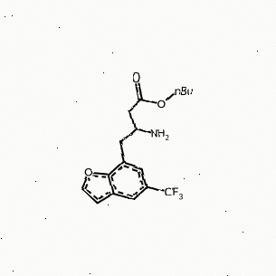 CCCCOC(=O)CC(N)Cc1cc(C(F)(F)F)cc2ccoc12